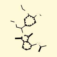 C=C(C)Nc1cccc2c(=C)n(C(CSC)c3ccc(OC)c(OCC)c3)c(=C)c12